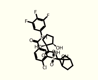 O=C(Nc1cc(F)c(F)c(F)c1)c1ccc(Cl)c(S(=O)(=O)C2CC3CCC2[C@@]3(O)CNC(=O)[C@]2(O)CCC[C@H]2O)c1